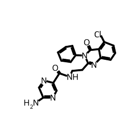 Nc1cnc(C(=O)NCCc2nc3cccc(Cl)c3c(=O)n2-c2ccccc2)cn1